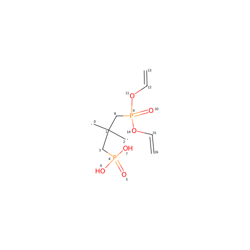 [CH2]C([CH2])(CP(=O)(O)O)CP(=O)(OC=C)OC=C